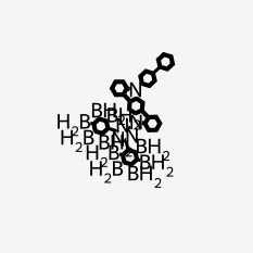 Bc1c(B)c(B)c(-c2nc(-c3c(B)c(B)c(B)c(B)c3B)nc(-n3c4ccccc4c4cc5c(cc43)c3ccccc3n5-c3ccc(-c4ccccc4)cc3)n2)c(B)c1B